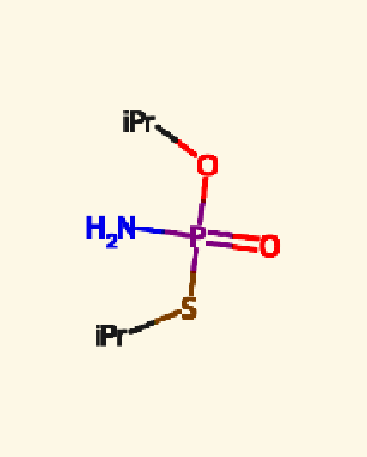 CC(C)OP(N)(=O)SC(C)C